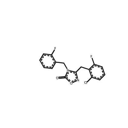 O=c1onc(Cc2c(F)cccc2Cl)n1Cc1ccccc1F